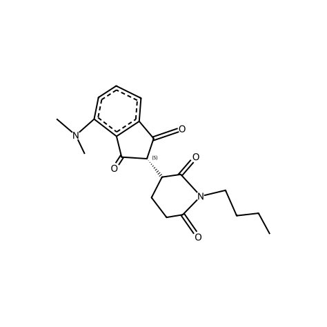 CCCCN1C(=O)CCC([C@H]2C(=O)c3cccc(N(C)C)c3C2=O)C1=O